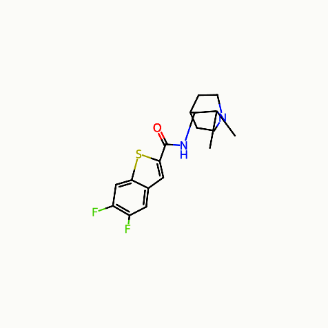 CC1(C)C(NC(=O)c2cc3cc(F)c(F)cc3s2)C2CCN1CC2